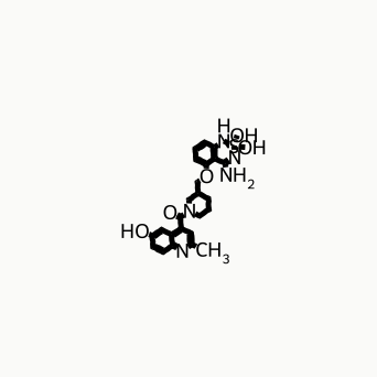 Cc1cc(C(=O)N2CCCC(COc3cccc4c3C(N)=NS(O)(O)N4)C2)c2cc(O)ccc2n1